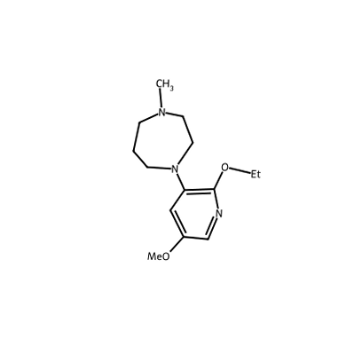 CCOc1ncc(OC)cc1N1CCCN(C)CC1